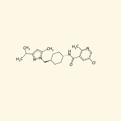 Cc1ncc(Cl)cc1C(=O)N[C@H]1CC[C@H](Cn2nc(C(C)C)cc2C)CC1